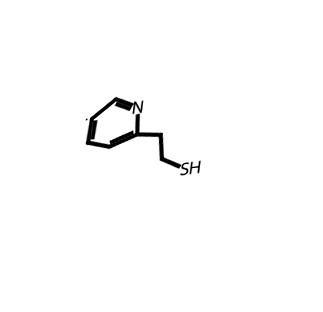 SCCc1cc[c]cn1